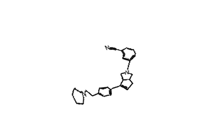 N#Cc1cccc(N2CC3CC=C(c4ccc(CCN5CCCC5)cc4)C3C2)c1